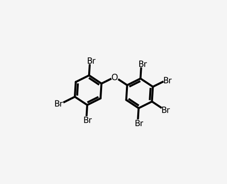 Brc1cc(Br)c(Oc2cc(Br)c(Br)c(Br)c2Br)cc1Br